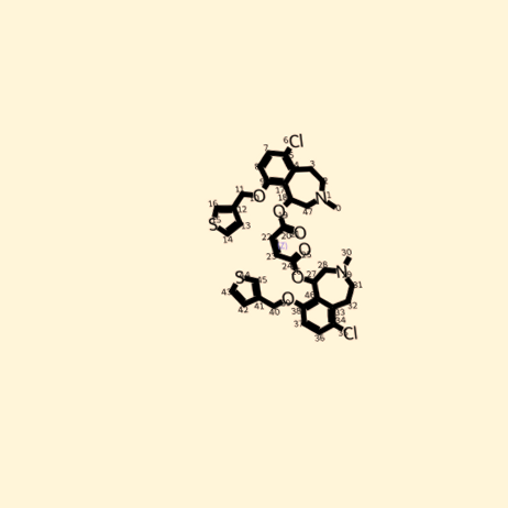 CN1CCc2c(Cl)ccc(OCc3ccsc3)c2C(OC(=O)/C=C\C(=O)OC2CN(C)CCc3c(Cl)ccc(OCc4ccsc4)c32)C1